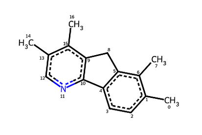 Cc1ccc2c(c1C)Cc1c-2ncc(C)c1C